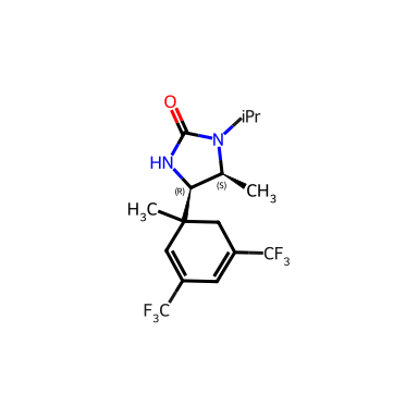 CC(C)N1C(=O)N[C@H](C2(C)C=C(C(F)(F)F)C=C(C(F)(F)F)C2)[C@@H]1C